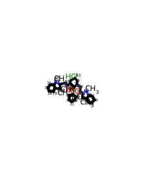 CN1/C(=C\C=C2\CCCC(/C=C/C3N(C)c4ccccc4C3(C)C)=C2S(=O)(=O)c2ccccc2)C(C)(C)c2ccccc21.Cl